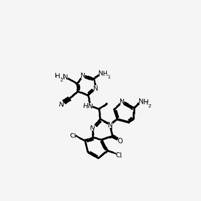 CC(Nc1nc(N)nc(N)c1C#N)c1nc2c(Cl)ccc(Cl)c2c(=O)n1-c1ccc(N)nc1